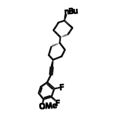 CCCC[C@H]1CC[C@H]([C@H]2CC[C@H](C#Cc3ccc(OC)c(F)c3F)CC2)CC1